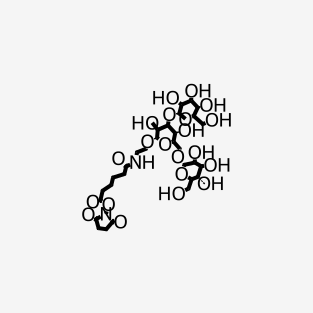 O=C(CCCCC(=O)ON1C(=O)CCC1=O)NCCO[C@H]1OC(CO[C@H]2OC(CO)[C@@H](O)C(O)C2O)[C@@H](O)C(O[C@H]2OC(CO)[C@@H](O)C(O)C2O)C1O